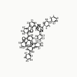 c1ccc(-c2ccc(-c3nc(-c4ccccc4)nc(-c4cccc5c4oc4c(-c6ccc(-n7c8ccccc8c8cc(-c9ccccc9)ccc87)c7c6oc6ccccc67)cccc45)n3)cc2)cc1